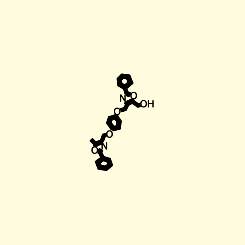 Cc1oc(-c2ccccc2)nc1COc1ccc(OCc2nc(-c3ccccc3)oc2CO)cc1